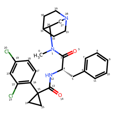 CN(C(=O)[C@H](Cc1ccccc1)NC(=O)C1(c2ccc(Cl)cc2Cl)CC1)C1CN2CCC1CC2